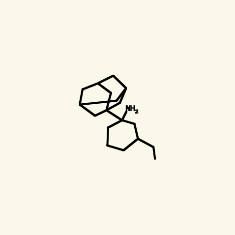 CCC1CCCC(N)(C23CC4CC(CC(C4)C2)C3)C1